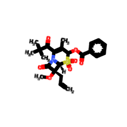 C=CC[C@@]1(OC)C(=O)N2C(C(=O)C(C)(C)C)=C(C)C(OC(=O)c3ccccc3)S(=O)(=O)[C@H]21